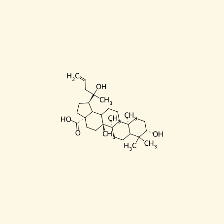 C=CCC(C)(O)[C@@H]1CC[C@]2(C(=O)O)CC[C@]3(C)C(CCC4[C@@]5(C)CC[C@H](O)C(C)(C)C5CC[C@]43C)C12